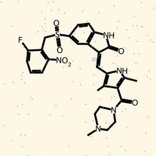 Cc1[nH]c(/C=C2\C(=O)Nc3ccc(S(=O)(=O)Cc4c(F)cccc4[N+](=O)[O-])cc32)c(C)c1C(=O)N1CCN(C)CC1